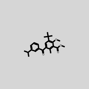 COC(=O)c1c(C)c(C(=O)c2cccc(C(C)C)c2)cc(C(C)(C)C)c1OC